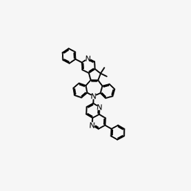 CC1(C)C2=C(c3ccccc3N(c3ccc4ncc(-c5ccccc5)cc4n3)c3ccccc32)c2cc(-c3ccccc3)ncc21